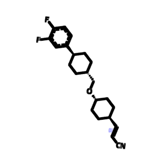 N#C/C=C/[C@H]1CC[C@H](OC[C@H]2CC[C@H](c3ccc(F)c(F)c3)CC2)CC1